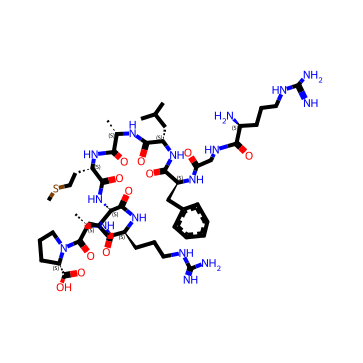 CSCC[C@H](NC(=O)[C@H](C)NC(=O)[C@H](CC(C)C)NC(=O)[C@H](Cc1ccccc1)NC(=O)CNC(=O)[C@@H](N)CCCNC(=N)N)C(=O)N[C@H](C(=O)N[C@@H](CCCNC(=N)N)C(=O)N[C@@H](C)C(=O)N1CCC[C@H]1C(=O)O)C(C)C